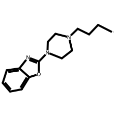 [CH2]CCCN1CCN(c2nc3ccccc3o2)CC1